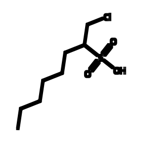 CCCCCCC(CCl)S(=O)(=O)O